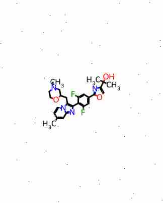 Cc1ccn2c(CC3CN(C)CCO3)c(-c3c(F)cc(-c4nc(C(C)(C)O)co4)cc3F)nc2c1